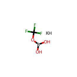 OB(O)OC(F)(F)F.[KH]